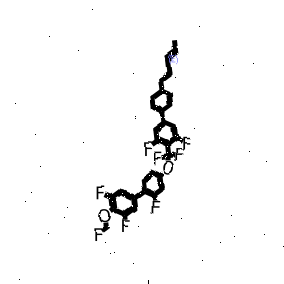 C/C=C/CCc1ccc(-c2cc(F)c(C(F)(F)Oc3ccc(-c4cc(F)c(OCF)c(F)c4)c(F)c3)c(F)c2)cc1